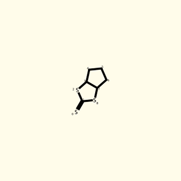 S=C1SC2CCCC2S1